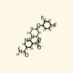 CN(C)C(=O)c1cnc(N2CCC(Oc3ccc(F)cc3F)CC2)c([N+](=O)[O-])c1